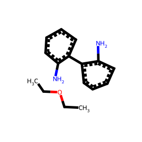 CCOCC.Nc1ccccc1-c1ccccc1N